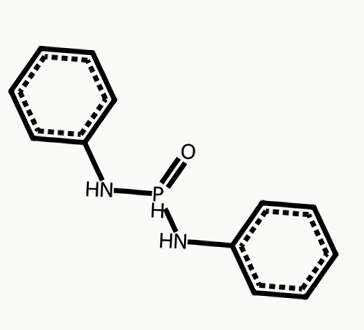 O=[PH](Nc1ccccc1)Nc1ccccc1